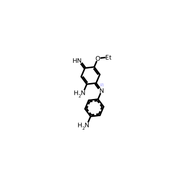 CCOC1=C/C(=N/c2ccc(N)cc2)C(N)=CC1=N